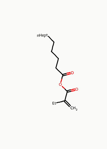 C=C(CC)C(=O)OC(=O)CCCCCCCCCCC